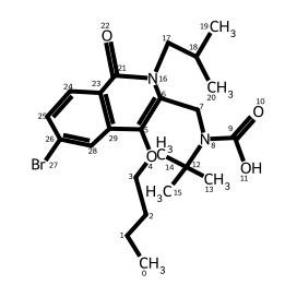 CCCCOc1c(CN(C(=O)O)C(C)(C)C)n(CC(C)C)c(=O)c2ccc(Br)cc12